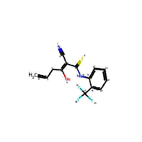 C=CCC(O)=C(C#N)C(=S)Nc1ccccc1C(F)(F)F